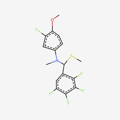 COc1ccc(N(C)C(SC)c2cc(F)c(F)c(F)c2F)cc1F